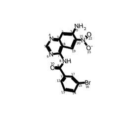 Nc1cc2ncnc(NC(=O)c3cccc(Br)c3)c2cc1[N+](=O)[O-]